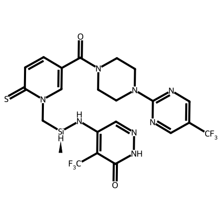 C[Si@@H](Cn1cc(C(=O)N2CCN(c3ncc(C(F)(F)F)cn3)CC2)ccc1=S)Nc1cn[nH]c(=O)c1C(F)(F)F